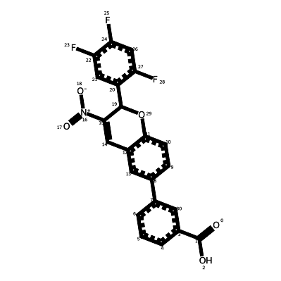 O=C(O)c1cccc(-c2ccc3c(c2)C=C([N+](=O)[O-])C(c2cc(F)c(F)cc2F)O3)c1